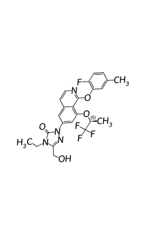 CCn1c(CO)nn(-c2cc(O[C@@H](C)C(F)(F)F)c3c(Oc4cc(C)ccc4F)nccc3c2)c1=O